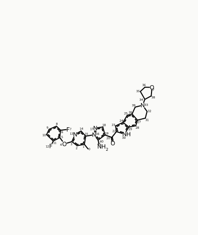 Cc1cc(Oc2c(F)cccc2F)ncc1-n1ncc(C(=O)c2cc3cc4c(cc3[nH]2)CCN(C2CCOC2)C4)c1N